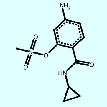 CS(=O)(=O)Oc1cc(N)ccc1C(=O)NC1CC1